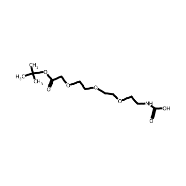 CC(C)(C)OC(=O)COCCOCCOCCNC(=O)O